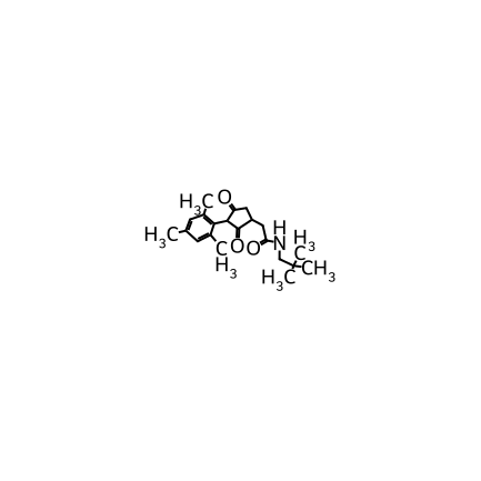 Cc1cc(C)c(C2C(=O)CC(CC(=O)NCC(C)(C)C)C2=O)c(C)c1